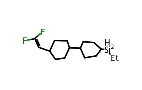 CC[SiH2]C1CCC(C2CCC(C=C(F)F)CC2)CC1